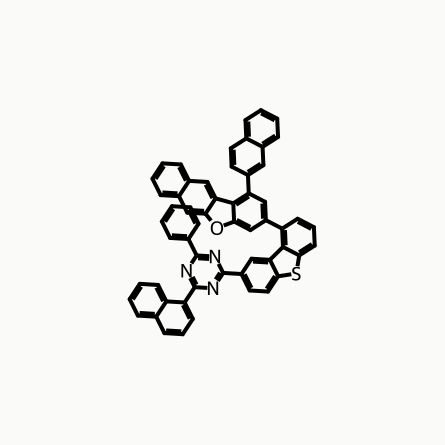 c1ccc(-c2nc(-c3ccc4sc5cccc(-c6cc(-c7ccc8ccccc8c7)c7c(c6)oc6cc8ccccc8cc67)c5c4c3)nc(-c3cccc4ccccc34)n2)cc1